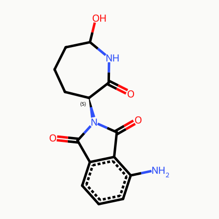 Nc1cccc2c1C(=O)N([C@H]1CCCC(O)NC1=O)C2=O